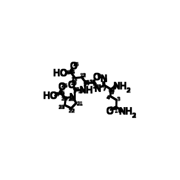 NC(=O)CC[C@H](N)c1noc([C@H](CCC(=O)O)NC(=O)N2CCCC2C(=O)O)n1